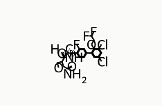 C[C@@H](NC(=O)C1COC1C(N)=O)c1ccc(-c2cc(Cl)cc(Cl)c2OCC(F)F)cc1F